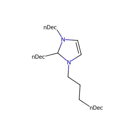 CCCCCCCCCCCCCN1C=CN(CCCCCCCCCC)C1CCCCCCCCCC